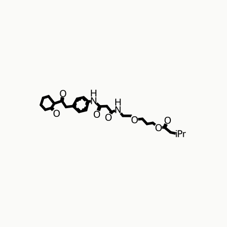 CC(C)CC(=O)OCCCOCCNC(=O)CC(=O)Nc1ccc(CC(=O)C2CCCCC2=O)cc1